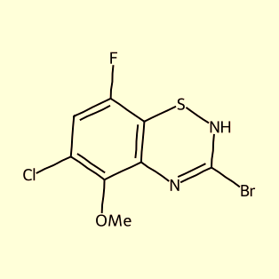 COc1c(Cl)cc(F)c2c1N=C(Br)NS2